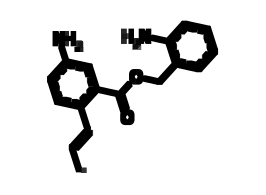 [CH2]/C=C/c1ccc(N)cc1C(=O)OCc1ccccc1N